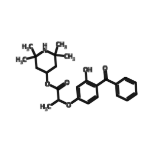 CC(Oc1ccc(C(=O)c2ccccc2)c(O)c1)C(=O)OC1CC(C)(C)NC(C)(C)C1